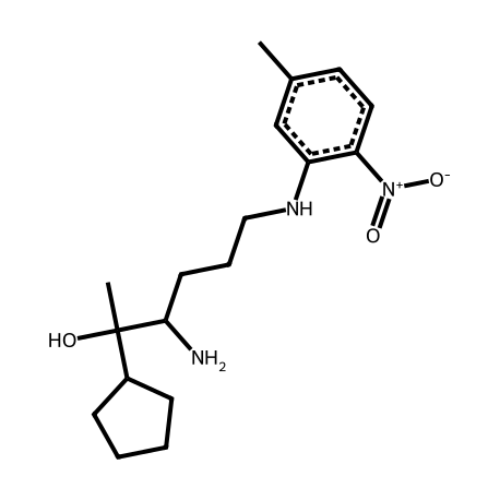 Cc1ccc([N+](=O)[O-])c(NCCCC(N)C(C)(O)C2CCCC2)c1